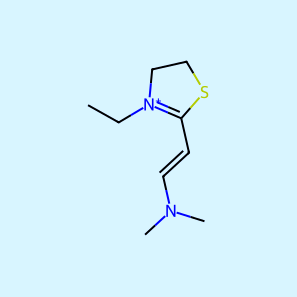 CC[N+]1=C(C=CN(C)C)SCC1